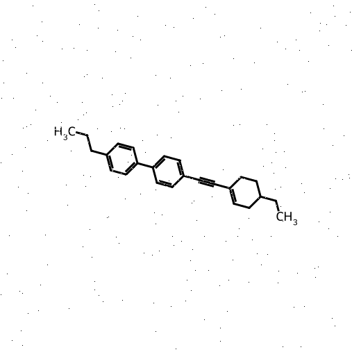 CCCc1ccc(-c2ccc(C#CC3=CCC(CC)CC3)cc2)cc1